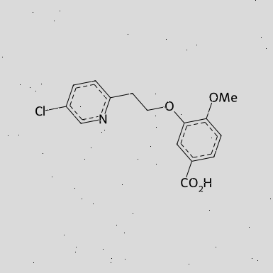 COc1ccc(C(=O)O)cc1OCCc1ccc(Cl)cn1